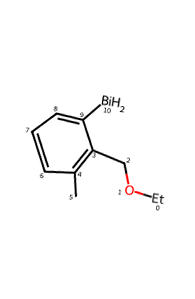 CCOCc1c(C)ccc[c]1[BiH2]